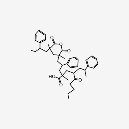 CCCCC(=O)C(CC(C)c1ccccc1)CC(C)(CC(CC1(C)CC(C)(CC(CC)c2ccccc2)C(=O)OC1=O)c1ccccc1)C(=O)O